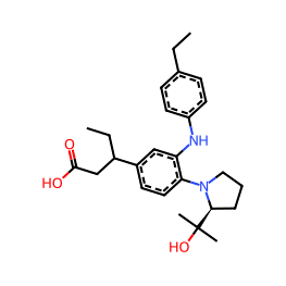 CCc1ccc(Nc2cc(C(CC)CC(=O)O)ccc2N2CCC[C@H]2C(C)(C)O)cc1